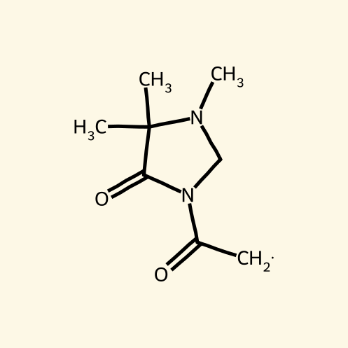 [CH2]C(=O)N1CN(C)C(C)(C)C1=O